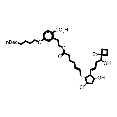 CCCCCCCCCCCCCCOc1ccc(C(=O)O)c(CCOC(=O)CCCC=CC[C@@H]2[C@@H](C=CC[C@H](O)C3(CC)CCC3)[C@H](O)C[C@H]2Cl)c1